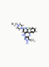 Cc1[nH]nc2c1N=C(c1ccccc1Cl)c1cnc(N3CCN(C)CC3)cc1N2